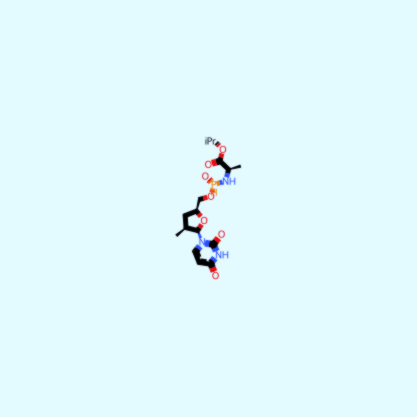 CC(C)OC(=O)[C@@H](C)N[PH](=O)OC[C@@H]1C[C@H](C)[C@H](n2ccc(=O)[nH]c2=O)O1